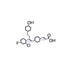 O=C(O)/C=C/c1ccc(/C=C(\CCc2ccc(O)cc2)c2ccc(F)cc2Cl)cc1